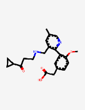 COc1ccc(CC(=O)O)cc1-c1ncc(C)cc1CNCCC(=O)C1CC1